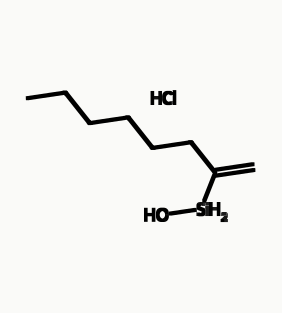 C=C(CCCCCC)[SiH2]O.Cl